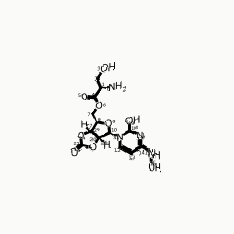 N[C@H](CO)C(=O)OC[C@H]1O[C@@H](N2C=CC(NO)=NC2O)[C@@H]2OC(=O)O[C@@H]21